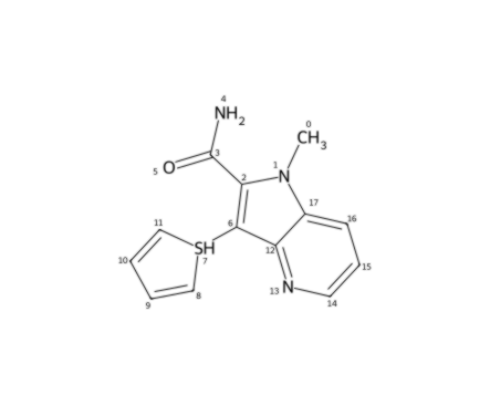 Cn1c(C(N)=O)c([SH]2C=CC=C2)c2ncccc21